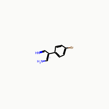 N=C/C(=C\N)c1ccc(Br)cc1